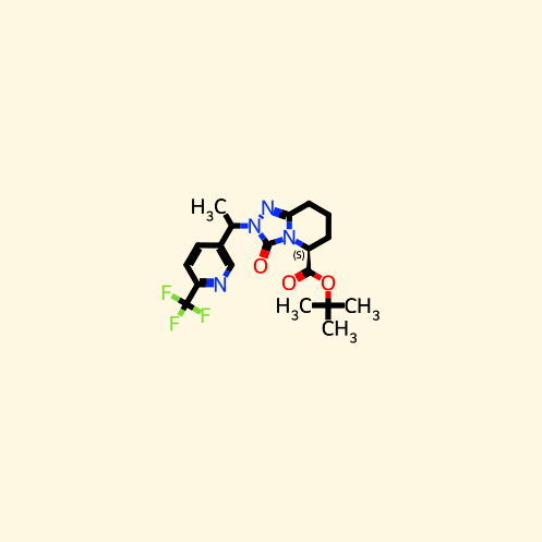 CC(c1ccc(C(F)(F)F)nc1)n1nc2n(c1=O)[C@H](C(=O)OC(C)(C)C)CCC2